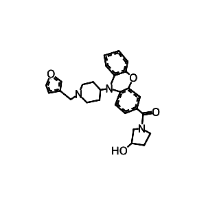 O=C(c1ccc2c(c1)Oc1ccccc1N2C1CCN(Cc2ccoc2)CC1)N1CCC(O)C1